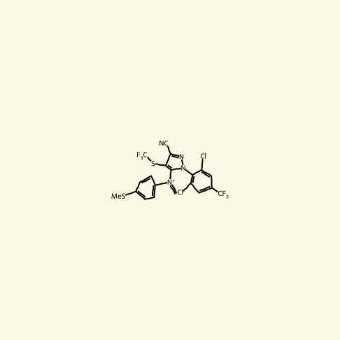 C=[N+](c1ccc(SC)cc1)c1c(SC(F)(F)F)c(C#N)nn1-c1c(Cl)cc(C(F)(F)F)cc1Cl